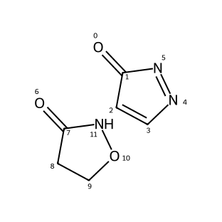 O=C1C=CN=N1.O=C1CCON1